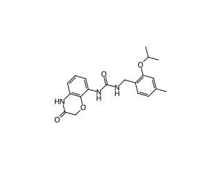 Cc1ccc(CNC(=O)Nc2cccc3c2OCC(=O)N3)c(OC(C)C)c1